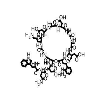 CNC(Cc1c[nH]c2ccccc12)C(=O)NC(CC(N)=O)C(=O)NC(CC(=O)O)C(=O)NC1C(=O)NCC(=O)NC(CCCN)C(=O)NC(CC(=O)O)C(=O)NC(C)C(=O)NC(CC(=O)O)C(=O)NCC(=O)NC(C)C(=O)NC(C(C)CC(=O)O)C(=O)NC(CC(=O)c2ccccc2N)C(=O)OC1C